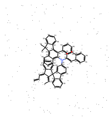 C=C/C=C1\C(=C/C)C2(c3ccccc31)c1ccccc1-c1ccc(N(c3ccc4ccccc4c3)c3c(-c4ccccc4)c4c(c5ccccc35)C(C)(C)c3ccccc3-4)cc12